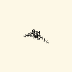 CCCCCCCc1cnc(C(=O)Oc2ccc(OCCCC)cc2C(=O)O)nc1